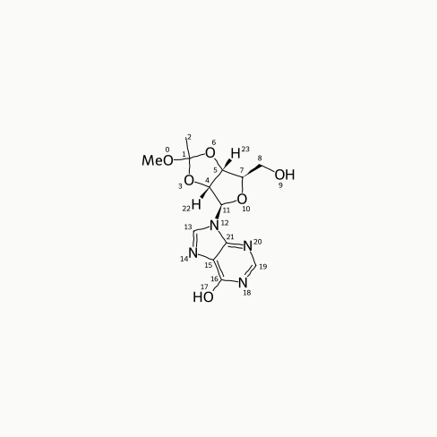 COC1(C)O[C@@H]2[C@H](O1)[C@@H](CO)O[C@H]2n1cnc2c(O)ncnc21